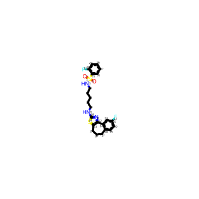 O=S(=O)(NCCCCCNc1nc2c(s1)CCCc1ccc(F)cc1-2)c1ccccc1F